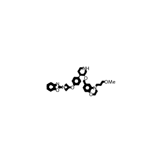 COCCCN1CCOc2ccc(CO[C@H]3CNCC[C@@H]3c3ccc(OC4CN(c5nc6ccccc6o5)C4)cc3)cc21